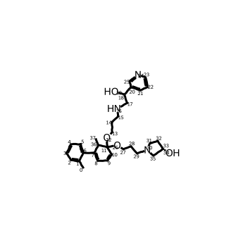 Cc1ccccc1C1=CC=CC(OCCCNCC(O)c2cccnc2)(OCCCN2CC[C@@H](O)C2)C1C